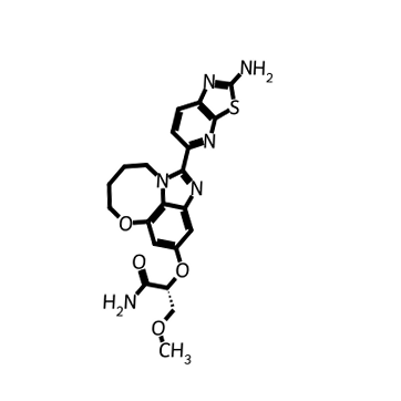 COC[C@@H](Oc1cc2c3c(c1)nc(-c1ccc4nc(N)sc4n1)n3CCCCO2)C(N)=O